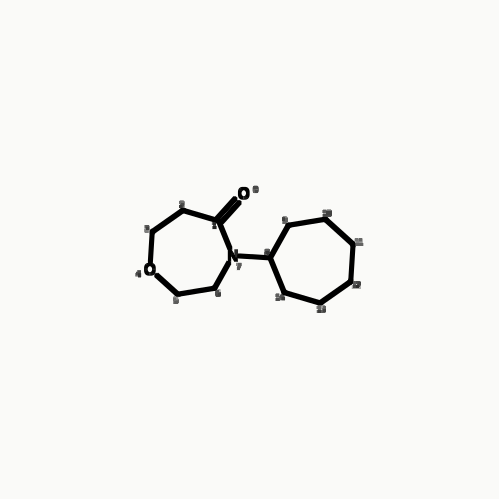 O=C1CCOCCN1C1CCCCCC1